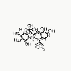 C=CC(=S)N(c1ccc(O)c(O)c1)[C@H](Cc1ccc(O)c(O)c1O)C(=O)OC(C)(C)C